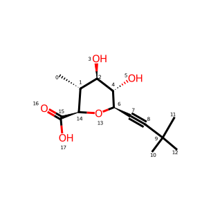 C[C@@H]1[C@@H](O)[C@H](O)[C@@H](C#CC(C)(C)C)O[C@H]1C(=O)O